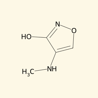 CNc1conc1O